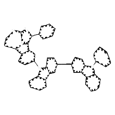 c1ccc(-c2nc3nccc4c5ccc(-n6c7ccccc7c7cc(-c8ccc9c(c8)c8ccccc8n9-c8ccccc8)ccc76)cc5c2n34)cc1